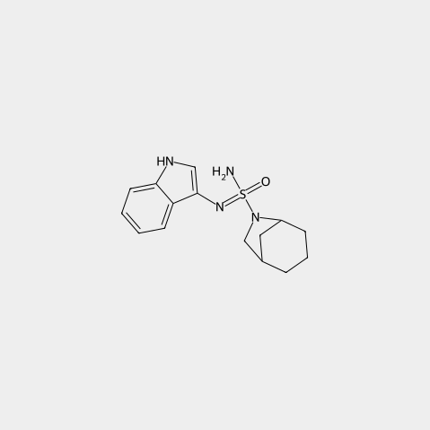 NS(=O)(=Nc1c[nH]c2ccccc12)N1CC2CCCC1C2